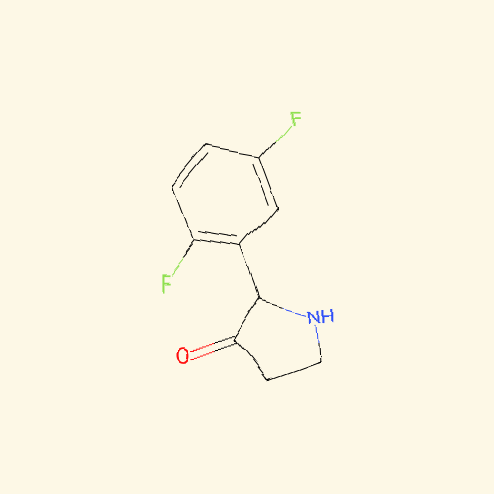 O=C1CCNC1c1cc(F)ccc1F